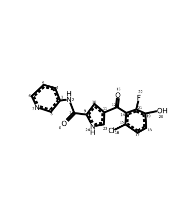 O=C(Nc1cccnc1)c1cc(C(=O)c2c(Cl)ccc(O)c2F)c[nH]1